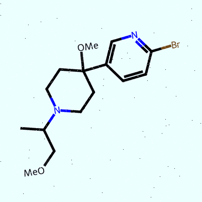 COCC(C)N1CCC(OC)(c2ccc(Br)nc2)CC1